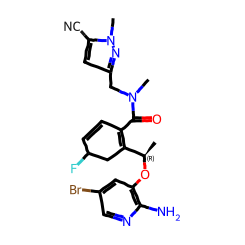 C[C@@H](Oc1cc(Br)cnc1N)C1=C(C(=O)N(C)Cc2cc(C#N)n(C)n2)C=CC(F)C1